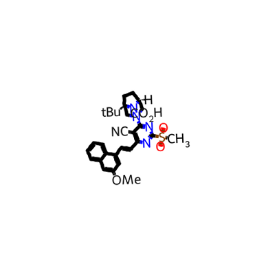 COc1cc(/C=C/c2nc(S(C)(=O)=O)nc(N3C[C@@H]4CC[C@@](C(C)(C)C)(C3)N4C(=O)O)c2C#N)c2ccccc2c1